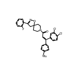 CC(C)(C)c1ccc(/C(=C/C(=O)N2CCC3(CC2)CC(c2ccccc2F)=NO3)c2ccc(Cl)c(Cl)c2)cc1